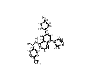 C[C@@H](Nc1ncnc2c(-c3ccnnc3)cc(-c3ccc(F)cc3)cc12)c1cnc(C(F)(F)F)nc1